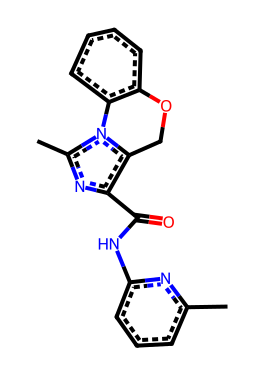 Cc1cccc(NC(=O)c2nc(C)n3c2COc2ccccc2-3)n1